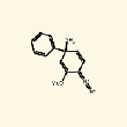 COC1=CC(N)(c2ccccc2)C=CC1=[N+]=[N-]